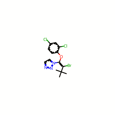 CC(C)(C)C(Br)=C(Oc1ccc(Cl)cc1Cl)n1ccnn1